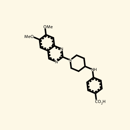 COc1cc2cnc(N3CCC(Nc4ccc(C(=O)O)cc4)CC3)nc2cc1OC